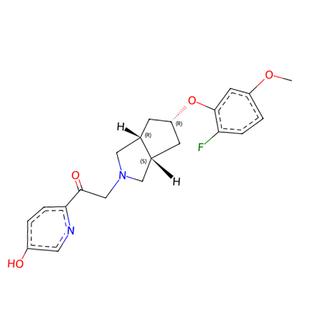 COc1ccc(F)c(O[C@@H]2C[C@@H]3CN(CC(=O)c4ccc(O)cn4)C[C@@H]3C2)c1